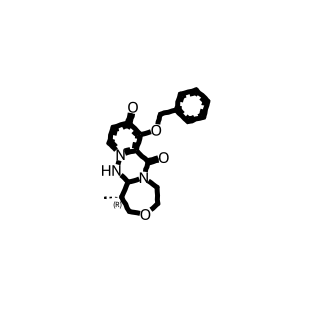 C[C@H]1COCCN2C(=O)c3c(OCc4ccccc4)c(=O)ccn3NC12